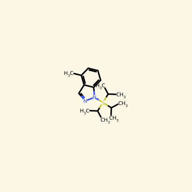 Cc1cccc2c1cnn2S(C(C)C)(C(C)C)C(C)C